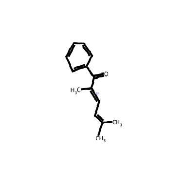 CC(C)=C/C=C(\C)C(=O)c1ccccc1